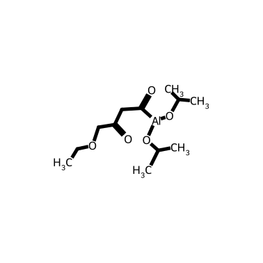 CCOCC(=O)C[C](=O)[Al]([O]C(C)C)[O]C(C)C